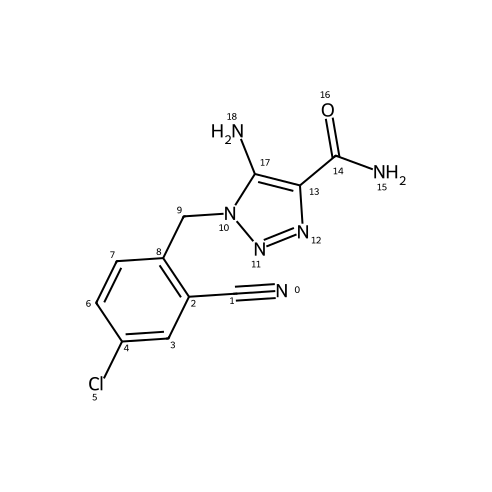 N#Cc1cc(Cl)ccc1Cn1nnc(C(N)=O)c1N